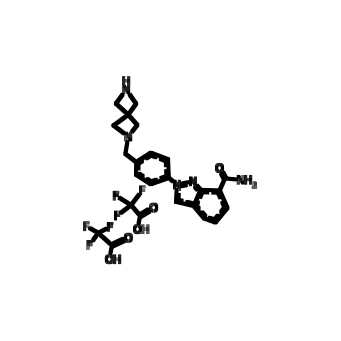 NC(=O)c1cccc2cn(-c3ccc(CN4CC5(CNC5)C4)cc3)nc12.O=C(O)C(F)(F)F.O=C(O)C(F)(F)F